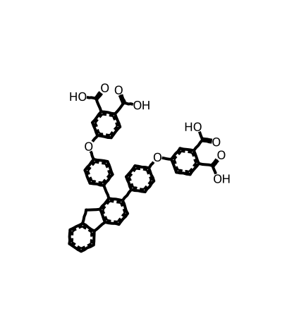 O=C(O)c1ccc(Oc2ccc(-c3ccc4c(c3-c3ccc(Oc5ccc(C(=O)O)c(C(=O)O)c5)cc3)Cc3ccccc3-4)cc2)cc1C(=O)O